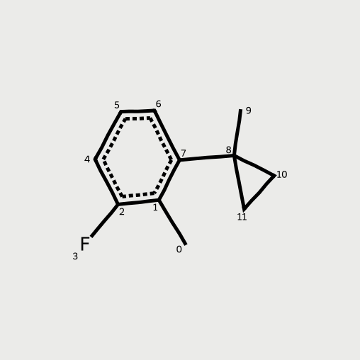 Cc1c(F)cccc1C1(C)CC1